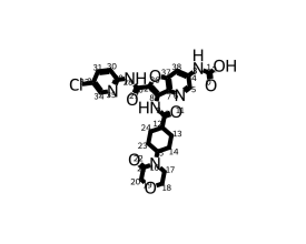 O=C(O)Nc1cnc2c(NC(=O)C3CCC(N4CCOCC4=O)CC3)c(C(=O)Nc3ccc(Cl)cn3)oc2c1